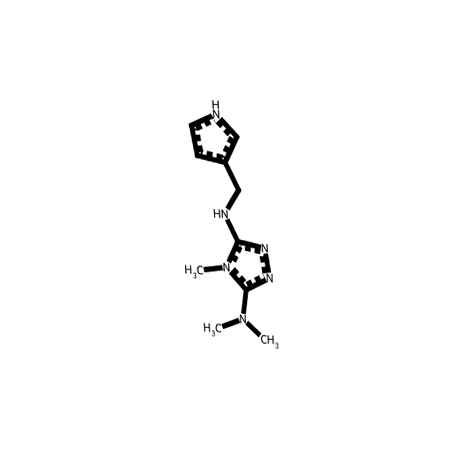 CN(C)c1nnc(NCc2cc[nH]c2)n1C